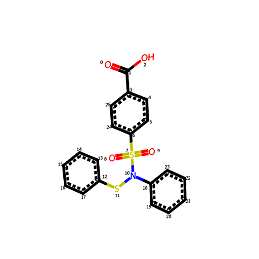 O=C(O)c1ccc(S(=O)(=O)N(Sc2ccccc2)c2ccccc2)cc1